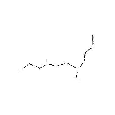 CNCCN(C)CCNCCN